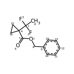 CC(F)(F)C1(C(=O)OCc2ccccc2)CC1